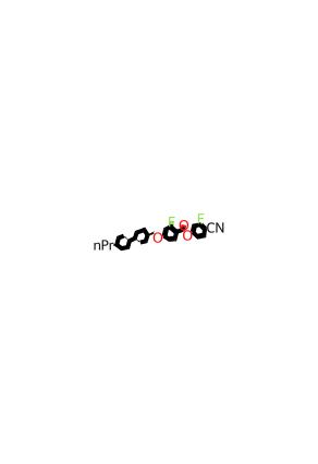 CCC[C@H]1CC[C@H]([C@H]2CC[C@H](COc3ccc(C(=O)Oc4ccc(C#N)c(F)c4)c(F)c3)CC2)CC1